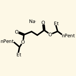 CCCCCC(CC)OC(=O)CCC(=O)OC(CC)CCCCC.[Na]